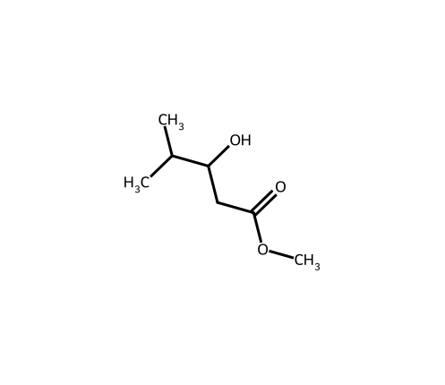 COC(=O)CC(O)C(C)C